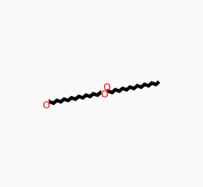 CCCCCCCCCCCCCCC(=O)OCCCCCCCCCCCCCC[C]=O